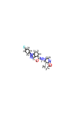 COc1cc(CNC(=O)c2cccc3c2cnn3-c2ccc(F)cc2)ccn1